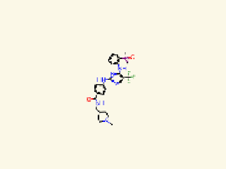 CN1CCC(CNC(=O)c2ccc(Nc3ncc(C(F)(F)F)c(Nc4ccccc4P(C)(C)=O)n3)cc2)CC1